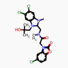 CN(CC1N(I)c2cc(Cl)c(Cl)cc2N1CC(C)(C)O)C(=O)Cn1c(=O)oc2ccc(Cl)cc21